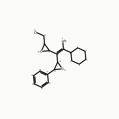 CCCC([C]1CCCCC1)=C(C1OC1CCl)C1OC1c1ccccc1